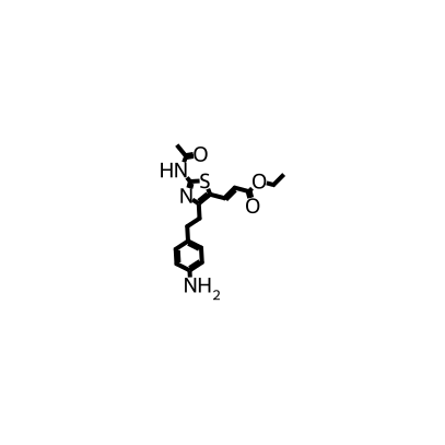 CCOC(=O)/C=C/c1sc(NC(C)=O)nc1CCc1ccc(N)cc1